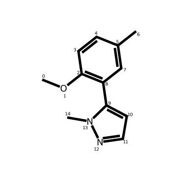 COc1ccc(C)cc1-c1ccnn1C